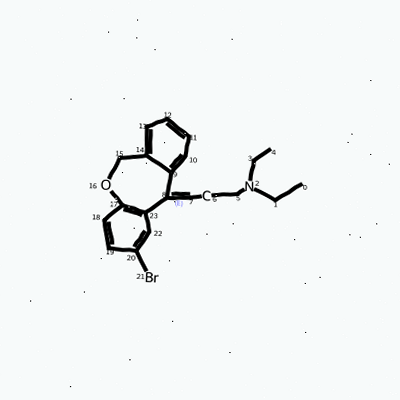 CCN(CC)CC/C=C1\c2ccccc2COc2ccc(Br)cc21